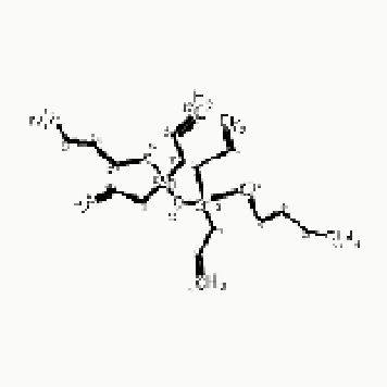 C=C[CH2][Sn]([CH2]C=C)([O]CCCC)[O][Sn]([CH2]C=C)([CH2]C=C)[O]CCCC